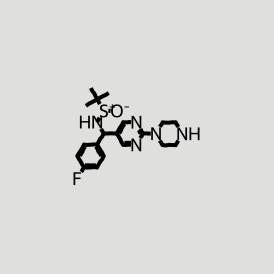 CC(C)(C)[S+]([O-])NC(c1ccc(F)cc1)c1cnc(N2CCNCC2)nc1